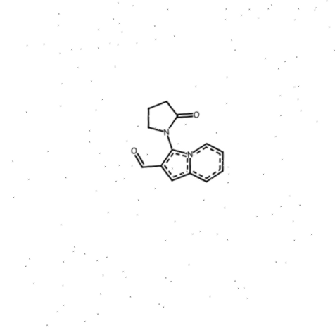 O=Cc1cc2ccccn2c1N1CCCC1=O